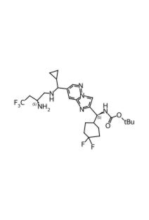 CC(C)(C)OC(=O)N[C@H](c1cn2ncc(C(NC[C@@H](N)CC(F)(F)F)C3CC3)cc2n1)C1CCC(F)(F)CC1